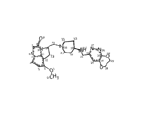 COc1ccc2ncc(=O)n3c2c1CC3CN1CCC(NCc2cc3c(nn2)OCCO3)CC1